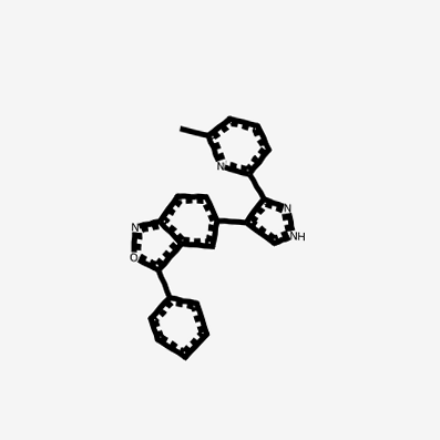 Cc1cccc(-c2n[nH]cc2-c2ccc3noc(-c4ccccc4)c3c2)n1